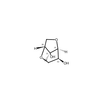 O[C@@H]1[C@H]2OC[C@H]1O[CH][C@@H]2O